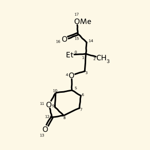 CCC(C)(COC1CCC2CC1OC2=O)CC(=O)OC